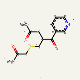 CNC(=O)CSCC(CC(=O)OC)C(=O)c1cccnc1